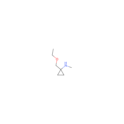 CCOCC1(NC)CC1